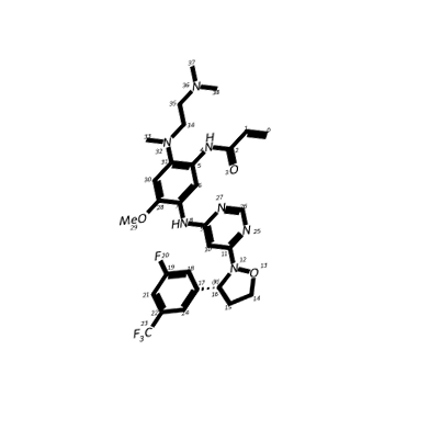 C=CC(=O)Nc1cc(Nc2cc(N3OCC[C@@H]3c3cc(F)cc(C(F)(F)F)c3)ncn2)c(OC)cc1N(C)CCN(C)C